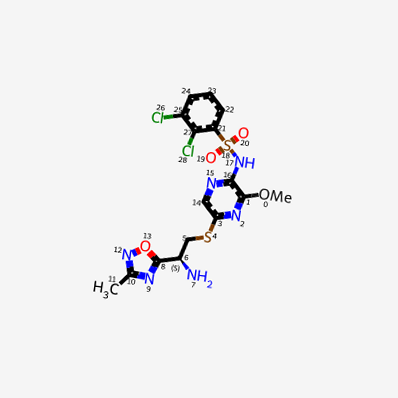 COc1nc(SC[C@@H](N)c2nc(C)no2)cnc1NS(=O)(=O)c1cccc(Cl)c1Cl